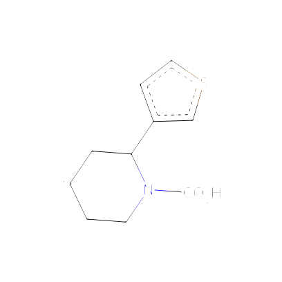 O=C(O)N1CCCCC1c1ccsc1